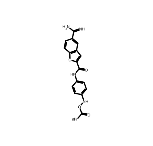 CCCC(=O)ONc1ccc(NC(=O)c2cc3cc(C(=N)N)ccc3o2)cc1